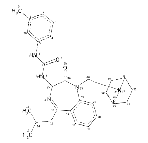 Cc1cccc(NC(=O)NC2N=C(CC(C)C)c3ccccc3N(CN3CC4CCC(CC4)C3)C2=O)c1